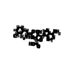 Nc1ncnc2c1ncn2[C@@H]1O[C@H](C(=O)O)[C@@H](NC(=O)C(N)Cc2cccc(Cl)c2)[C@H]1O